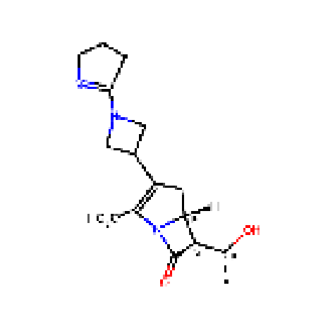 C[C@@H](O)[C@H]1C(=O)N2C(C(=O)O)=C(C3CN(C4=NCCC4)C3)C[C@H]12